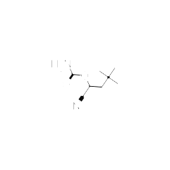 CC(C)(C)CC(C#N)OC(N)=O